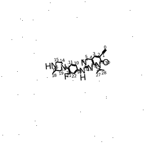 C#Cc1cc2cnc(Nc3ccc(N4CCNC(C)C4)c(F)c3)nc2n(C(C)C)c1=O